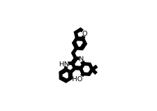 CC1(C)Cc2nc(Cc3ccc4c(c3)CCO4)c3[nH]c4ccccc4c3c2C(O)C1